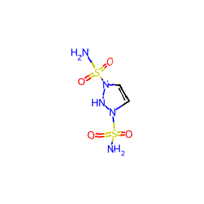 NS(=O)(=O)N1C=CN(S(N)(=O)=O)N1